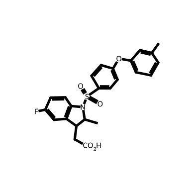 Cc1cccc(Oc2ccc(S(=O)(=O)N3c4ccc(F)cc4C(CC(=O)O)C3C)cc2)c1